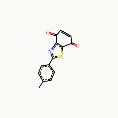 Cc1ccc(-c2nc3c(s2)C(=O)C=CC3=O)cc1